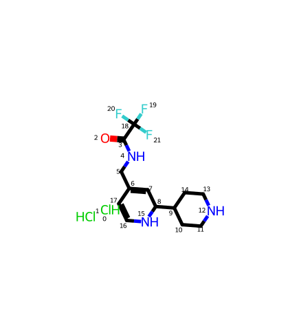 Cl.Cl.O=C(NCC1=CC(C2CCNCC2)NC=C1)C(F)(F)F